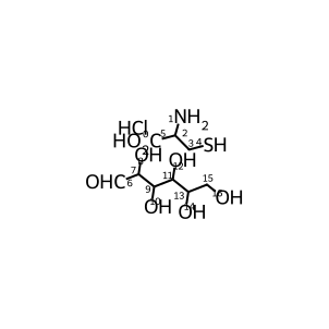 Cl.NC(CS)C(=O)O.O=CC(O)C(O)C(O)C(O)CO